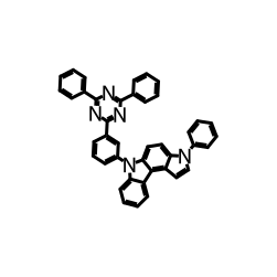 c1ccc(-c2nc(-c3ccccc3)nc(-c3cccc(-n4c5ccccc5c5c6ccn(-c7ccccc7)c6ccc54)c3)n2)cc1